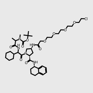 CC(C(=O)NC(C(=O)N1C[C@@H](NC(=O)COCCOCCOCCOCCCl)C[C@H]1C(=O)N[C@@H]1CCCc2ccccc21)C1CCCCC1)N(C)C(=O)OC(C)(C)C